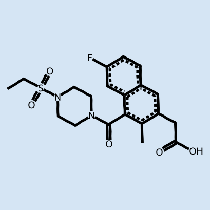 CCS(=O)(=O)N1CCN(C(=O)c2c(C)c(CC(=O)O)cc3ccc(F)cc23)CC1